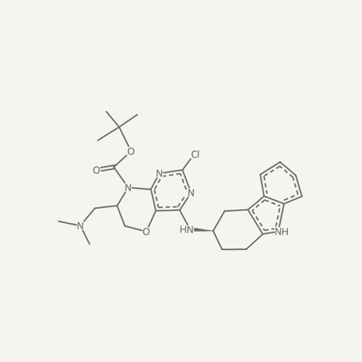 CN(C)CC1COc2c(N[C@@H]3CCc4[nH]c5ccccc5c4C3)nc(Cl)nc2N1C(=O)OC(C)(C)C